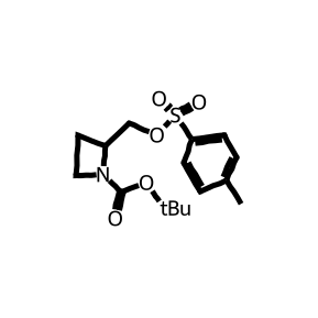 Cc1ccc(S(=O)(=O)OCC2CCN2C(=O)OC(C)(C)C)cc1